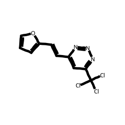 ClC(Cl)(Cl)c1cc(C=Cc2ccco2)nnn1